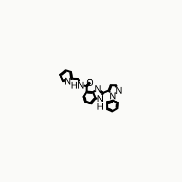 O=C(NCc1ccccn1)c1cccc2[nH]c(-c3ccnn3-c3ccccc3)nc12